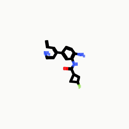 C=C/C=C(\C=C/N)c1ccc(N)c(NC(=O)C2CC(F)C2)c1